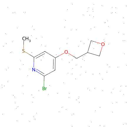 CSc1cc(OCC2COC2)cc(Br)n1